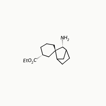 CCOC(=O)[C@@H]1CCC[C@]2(C1)C1CCC(C1)[C@H]2N